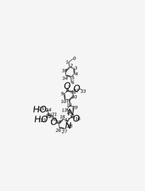 CCc1ccc(COc2ccc(C3CN(C(=O)c4cc(OC[C@H](O)CO)ccn4)C3)cc2OC)cc1